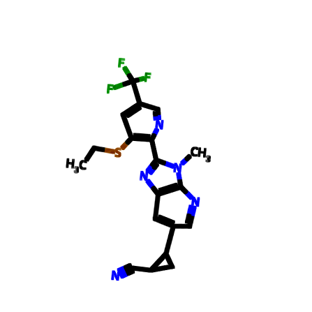 CCSc1cc(C(F)(F)F)cnc1-c1nc2cc(C3CC3C#N)cnc2n1C